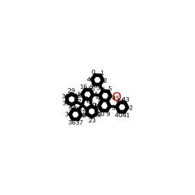 c1ccc(-c2cc3c4c(cccc4c2-c2cccc4c2-c2ccccc2C4(c2ccccc2)c2ccccc2)-c2ccccc2O3)cc1